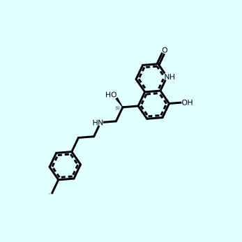 [CH2]c1ccc(CCNC[C@@H](O)c2ccc(O)c3[nH]c(=O)ccc23)cc1